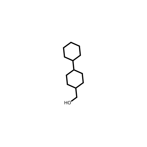 OCC1CCC(C2CCCCC2)CC1